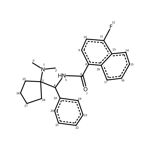 CN(C)C1(C(NC(=O)c2ccc(F)c3ccccc23)c2ccccc2)CCCC1